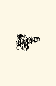 CNc1nc(N2CCOCC2)nc(N2CCOCC2)c1/N=N/c1c(C#N)cnn1-c1ncccn1